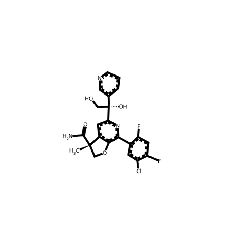 C[C@]1(C(N)=O)COc2c1cc([C@@](O)(CO)c1cccnc1)nc2-c1cc(Cl)c(F)cc1F